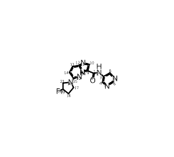 O=C(Nc1cncnc1)c1cnc2ccc(N3CCC(F)C3)nn12